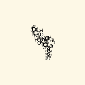 CC1(C)CN(C[C@@H](O)[C@@H]2Cc3ccccc3CN2)C(=O)c2ccc(C(=O)N3CC4(C3)CC(F)(F)C4)cc21.Cl